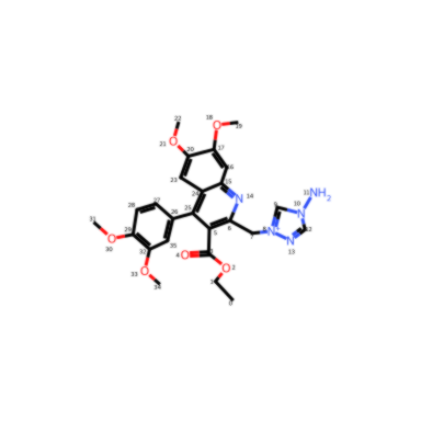 CCOC(=O)c1c(C[n+]2cn(N)cn2)nc2cc(OC)c(OC)cc2c1-c1ccc(OC)c(OC)c1